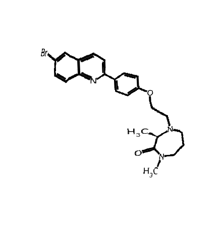 C[C@@H]1C(=O)N(C)CCCN1CCOc1ccc(-c2ccc3cc(Br)ccc3n2)cc1